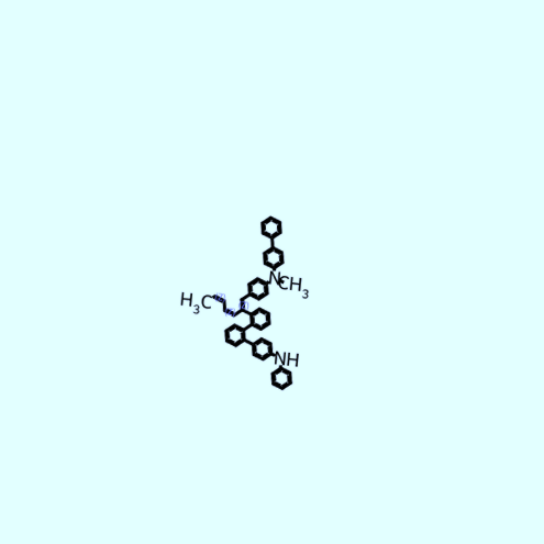 C\C=C/C=C\C(=C\c1ccc(N(C)c2ccc(-c3ccccc3)cc2)cc1)c1ccccc1-c1ccccc1-c1ccc(Nc2ccccc2)cc1